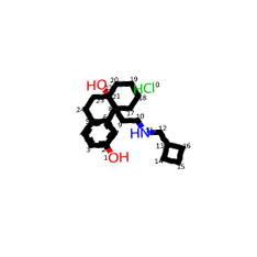 Cl.Oc1ccc2c(c1)C1(CCNCC3CCC3)CCCCC1(O)CC2